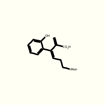 C=C(C(=O)O)C(=CCCCCCCCCCCC)c1ccccc1O